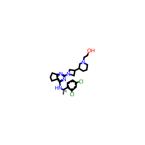 C[C@@H](Nc1nc(N2CC(C3CCCN(CCO)C3)C2)nc2c1CCC2)c1ccc(Cl)cc1Cl